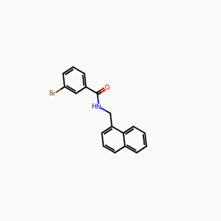 O=C(NCc1cccc2ccccc12)c1cccc(Br)c1